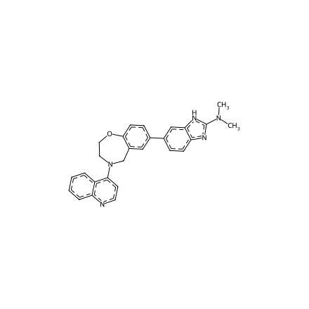 CN(C)c1nc2ccc(-c3ccc4c(c3)CN(c3ccnc5ccccc35)CCO4)cc2[nH]1